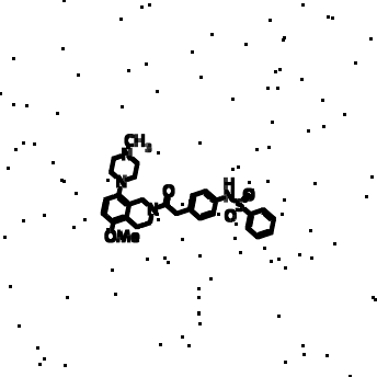 COc1ccc(N2CCN(C)CC2)c2c1CCN(C(=O)Cc1ccc(NS(=O)(=O)c3ccccc3)cc1)C2